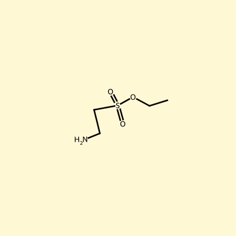 CCOS(=O)(=O)CCN